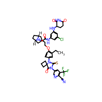 CCc1cc(N2C(=S)N(c3cnc(C#N)c(C(F)(F)F)c3)C(=O)C23CCC3)ccc1OCCC1C[C@H]2CC[C@@H](C1)N2CC(=O)Nc1cc(Cl)cc(NC2CCC(=O)NC2=O)c1